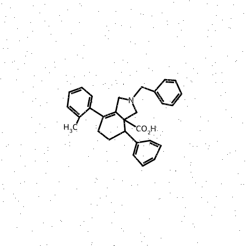 Cc1ccccc1C1=C2CN(Cc3ccccc3)CC2(C(=O)O)C(c2ccccc2)CC1